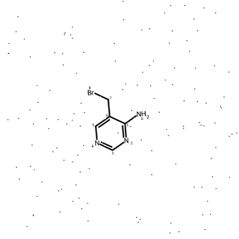 Nc1ncncc1CBr